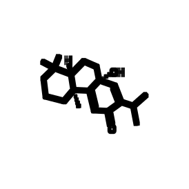 CC(C)C1=C[C@]2(O)CC[C@H]3C(C)(C)CCC[C@]3(C)C2=CC1=O